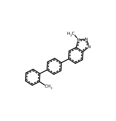 Cc1ccccc1-c1ccc(-c2ccc3nnn(C)c3c2)cc1